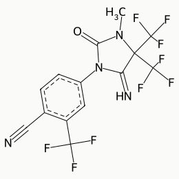 CN1C(=O)N(c2ccc(C#N)c(C(F)(F)F)c2)C(=N)C1(C(F)(F)F)C(F)(F)F